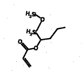 C=CC(=O)OC(CCC)[SiH2]O[SiH3]